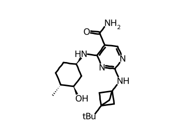 C[C@@H]1CC[C@@H](Nc2nc(NC34CC(C(C)(C)C)(C3)C4)ncc2C(N)=O)C[C@H]1O